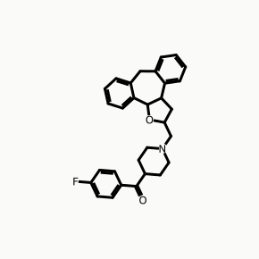 O=C(c1ccc(F)cc1)C1CCN(CC2CC3c4ccccc4Cc4ccccc4C3O2)CC1